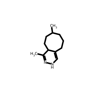 CC1=NNC=C2CCCC(C)CCC21